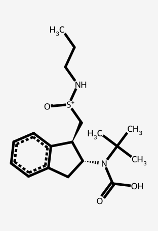 CCCN[S+]([O-])C[C@@H]1c2ccccc2C[C@H]1N(C(=O)O)C(C)(C)C